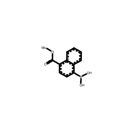 CC(C)(C)OC(=O)c1ccc(B(O)O)c2ccccc12